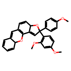 COc1ccc(C2(c3ccc(OC)cc3OC)C=C3C4=C(C=CC3O2)C=C2C=CC=CC2O4)cc1